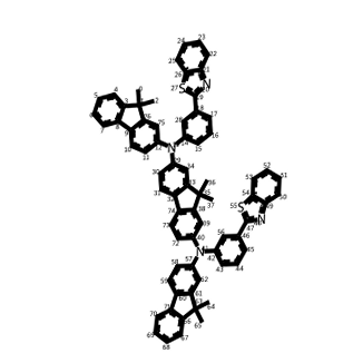 CC1(C)c2ccccc2-c2ccc(N(c3cccc(-c4nc5ccccc5s4)c3)c3ccc4c(c3)C(C)(C)c3cc(N(c5cccc(-c6nc7ccccc7s6)c5)c5ccc6c(c5)C(C)(C)c5ccccc5-6)ccc3-4)cc21